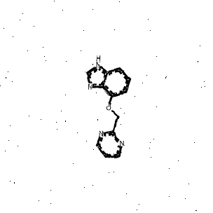 [c]1nc2c(OCc3ncccn3)cccc2[nH]1